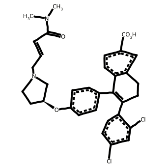 CN(C)C(=O)/C=C/CN1CC[C@H](Oc2ccc(C3=C(c4ccc(Cl)cc4Cl)CCc4cc(C(=O)O)ccc43)cc2)C1